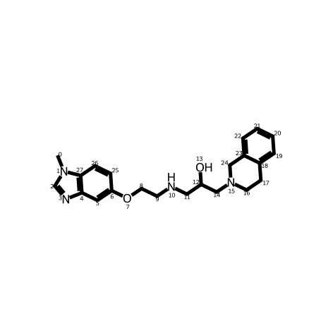 Cn1cnc2cc(OCCNCC(O)CN3CCc4ccccc4C3)ccc21